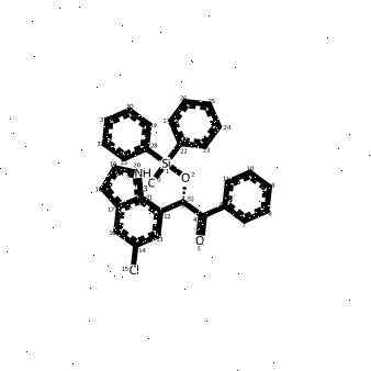 C[Si](O[C@H](C(=O)c1ccccc1)c1cc(Cl)cc2cc[nH]c12)(c1ccccc1)c1ccccc1